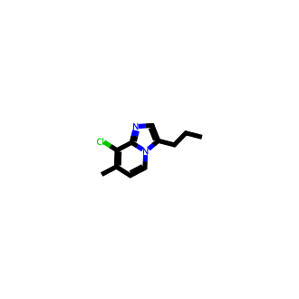 CCCc1cnc2c(Cl)c(C)ccn12